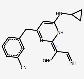 N#Cc1cccc(CC2=N/C(=C(/C=N)C=O)NC(NC3CC3)=C2)c1